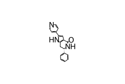 O=C1N[C@H](c2ccccc2)Cc2[nH]c(-c3ccncc3)cc21